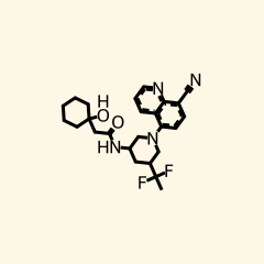 CC(F)(F)C1CC(NC(=O)CC2(O)CCCCC2)CN(c2ccc(C#N)c3ncccc23)C1